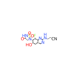 N#CCCNc1ncc2cc(O)c(N3CC(=O)NS3(=O)=O)c(F)c2n1